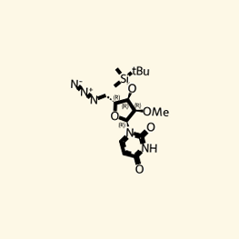 CO[C@@H]1[C@H](O[Si](C)(C)C(C)(C)C)[C@@H](CN=[N+]=[N-])O[C@H]1n1ccc(=O)[nH]c1=O